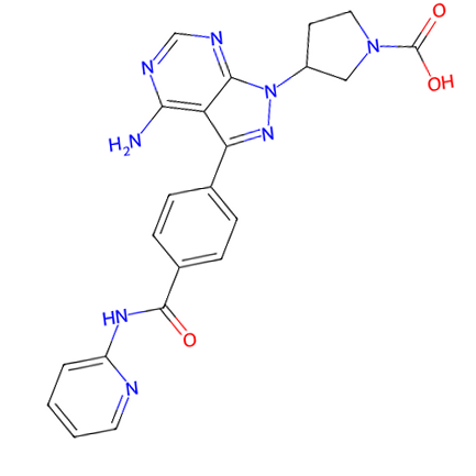 Nc1ncnc2c1c(-c1ccc(C(=O)Nc3ccccn3)cc1)nn2C1CCN(C(=O)O)C1